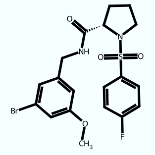 COc1cc(Br)cc(CNC(=O)[C@@H]2CCCN2S(=O)(=O)c2ccc(F)cc2)c1